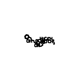 CO[C@@](O)(CCCCc1ccccc1O)[C@@H]1CCCN(C(=O)OC(C)(C)C)C1